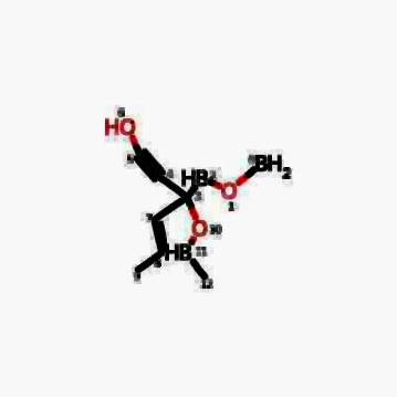 BOBC(C#CO)(C=CC)OBC